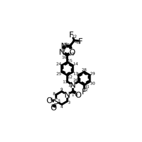 O=C(N1CCS(=O)(=O)CC1)N(Cc1ccc(-c2nnc(C(F)F)o2)cc1)c1ccccc1F